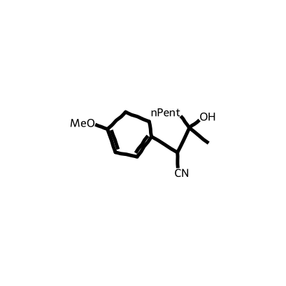 CCCCCC(C)(O)C(C#N)C1=CC=C(OC)CC1